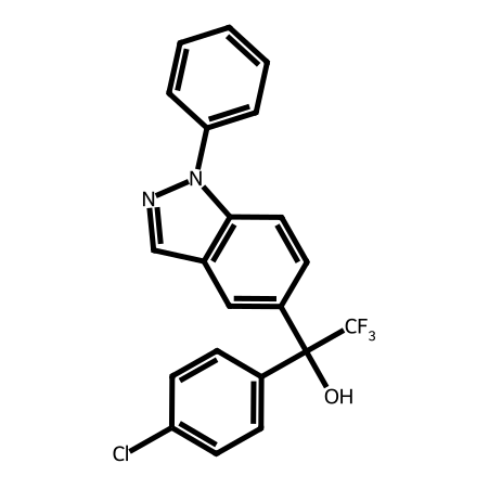 OC(c1ccc(Cl)cc1)(c1ccc2c(cnn2-c2ccccc2)c1)C(F)(F)F